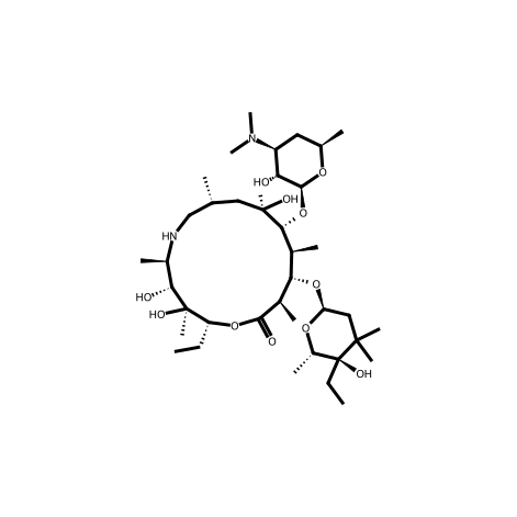 CC[C@H]1OC(=O)[C@H](C)[C@@H](O[C@H]2CC(C)(C)[C@](O)(CC)[C@H](C)O2)[C@H](C)[C@@H](O[C@@H]2O[C@H](C)C[C@H](N(C)C)[C@H]2O)[C@](C)(O)C[C@@H](C)CN[C@H](C)[C@@H](O)[C@]1(C)O